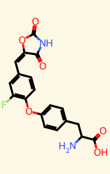 NC(Cc1ccc(Oc2ccc(C=C3OC(=O)NC3=O)cc2F)cc1)C(=O)O